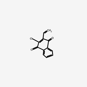 C=CC1=C(Cl)C(=O)c2ccccc2C1=O